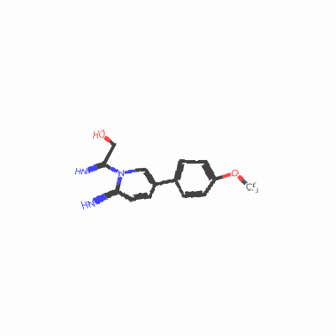 N=C(CO)n1cc(-c2ccc(OC(F)(F)F)cc2)ccc1=N